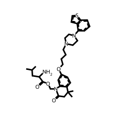 CC(C)CC(N)C(=O)OCN1C(=O)CC(C)(C)c2ccc(OCCCCN3CCN(c4cccc5sccc45)CC3)cc21